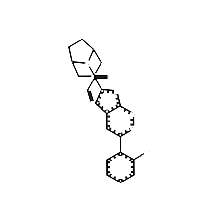 C=CC(=O)N1C2CCC1CN(c1cc3cc(-c4ccccc4O)nnc3[nH]1)C2